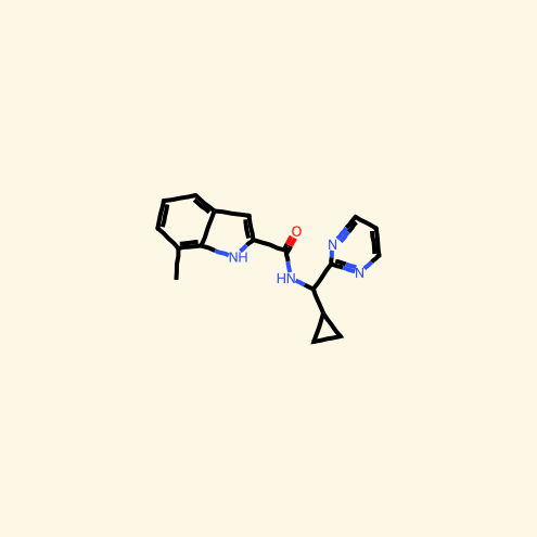 Cc1cccc2cc(C(=O)NC(c3ncccn3)C3CC3)[nH]c12